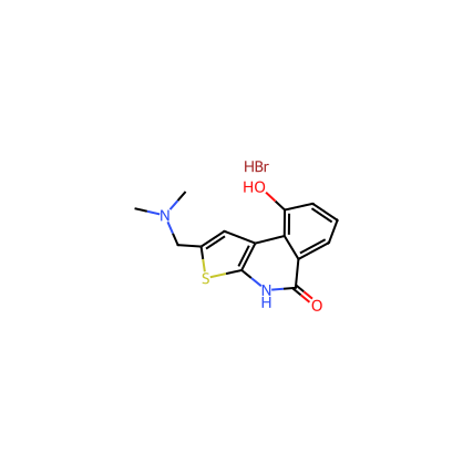 Br.CN(C)Cc1cc2c([nH]c(=O)c3cccc(O)c32)s1